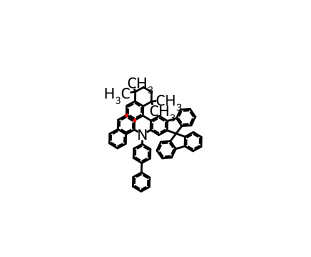 CC1(C)CCC(C)(C)c2c(-c3cc4c(cc3N(c3ccc(-c5ccccc5)cc3)c3cccc5ccccc35)C3(c5ccccc5-c5ccccc53)c3ccccc3-4)cccc21